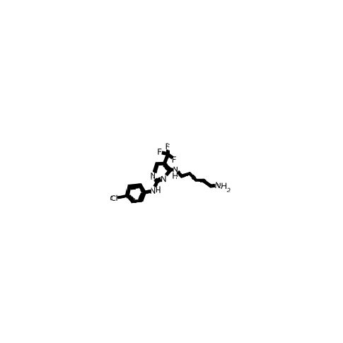 NCCCCCNc1nc(Nc2ccc(Cl)cc2)ncc1C(F)(F)F